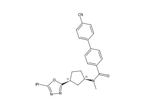 CC(C)c1nnc([C@H]2CC[C@@H](N(C)C(=O)c3ccc(-c4ccc(C#N)cc4)cc3)C2)o1